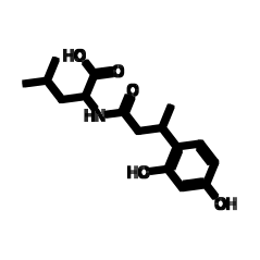 CC(C)CC(NC(=O)CC(C)c1ccc(O)cc1O)C(=O)O